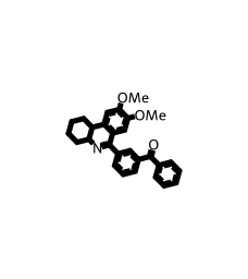 COc1cc2c(cc1OC)C1CCCCC1N=C2c1cccc(C(=O)c2ccccc2)c1